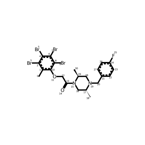 Cc1c(Br)c(Br)c(Br)c(Br)c1OCC(=O)N1C[C@@H](C)N(Cc2ccc(F)cc2)C[C@@H]1C